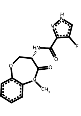 CN1C(=O)[C@@H](NC(=O)c2n[nH]cc2F)COc2ccccc21